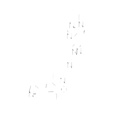 O=C(c1c(F)cc(-c2cccnc2)cc1F)N1CCC(N2CC(n3cc(-c4ncnc5[nH]ccc45)cn3)C2)CC1